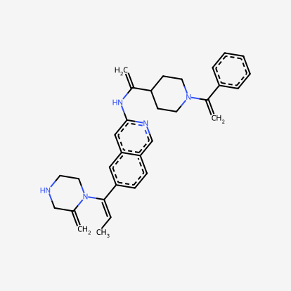 C=C(Nc1cc2cc(/C(=C/C)N3CCNCC3=C)ccc2cn1)C1CCN(C(=C)c2ccccc2)CC1